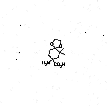 CC1(C)CC(N)(C(=O)O)CCC12OCCO2